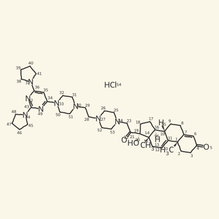 C[C@]12CCC(=O)C=C1CC[C@@H]1C2=CC[C@@]2(C)[C@H]1CC[C@]2(O)C(=O)CN1CCN(CCN2CCN(c3cc(N4CCCC4)nc(N4CCCC4)n3)CC2)CC1.Cl